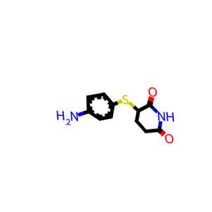 Nc1ccc(SC2CCC(=O)NC2=O)cc1